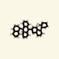 c1ccc2c(c1)Oc1cc(-c3c4ccccc4c(-c4cccc5ccccc45)c4ccccc34)cc3cccc-2c13